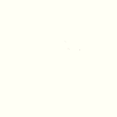 CCCn1nc(O)c(-c2ccccc2)c1-c1cccc(C)c1